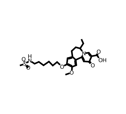 CCC1CCc2cc(OCCCCCCNS(C)(=O)=O)c(OC)cc2-c2cc(=O)c(C(=O)O)cn21